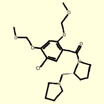 COCOc1cc(OCOC)c(C(=O)N2CCC[C@@H]2CN2CCCC2)cc1Cl